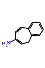 NC1=CCc2ccccc2C=C1